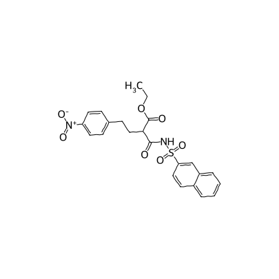 CCOC(=O)C(CCc1ccc([N+](=O)[O-])cc1)C(=O)NS(=O)(=O)c1ccc2ccccc2c1